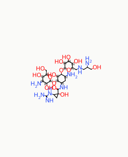 N=C(N)NC1CC1(O)C(=O)N[C@@H]1C[C@H](N)C(O[C@H]2O[C@H](CNCC(N)CO)[C@@H](O)[C@H](O)[C@H]2O)[C@H](O)[C@H]1O[C@H]1O[C@H](CO)[C@@H](O)[C@H](N)[C@H]1O